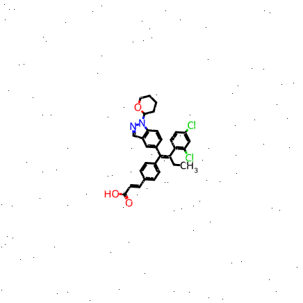 CCC(=C(c1ccc(C=CC(=O)O)cc1)c1ccc2c(cnn2C2CCCCO2)c1)c1ccc(Cl)cc1Cl